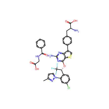 Cc1ccn(-c2cc(Cl)ccc2[C@@H](Oc2nc(N)nc3c(-c4ccc(CC(N)C(=O)O)cc4)csc23)C(F)(F)F)n1.O=C(O)CNC(=O)c1ccccc1